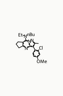 CCCCN(CC)c1c2c(nc3c(-c4ccc(OC)cc4Cl)c(C)nn13)CCC2